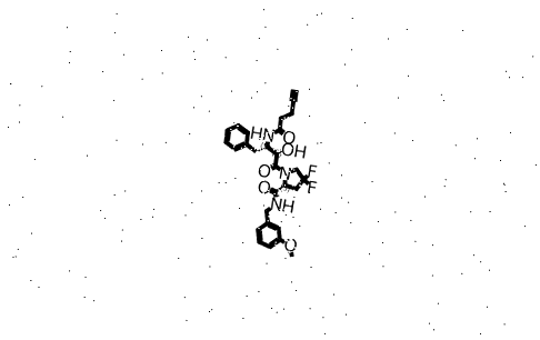 C#CCCC(=O)N[C@@H](Cc1ccccc1)[C@H](O)C(=O)N1CC(F)(F)C[C@H]1C(=O)NCc1cccc(OC)c1